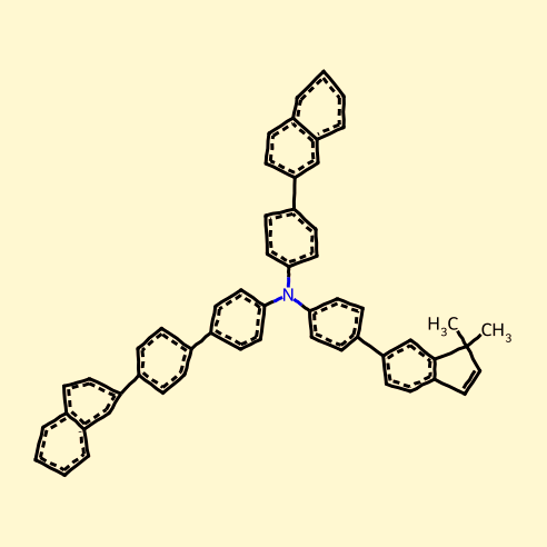 CC1(C)C=Cc2ccc(-c3ccc(N(c4ccc(-c5ccc(-c6ccc7ccccc7c6)cc5)cc4)c4ccc(-c5ccc6ccccc6c5)cc4)cc3)cc21